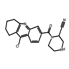 N#CC1CNCCN1C(=O)c1ccc2c(Cl)c3c(nc2c1)CCCC3